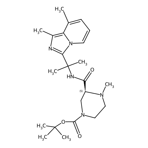 Cc1cccn2c(C(C)(C)NC(=O)[C@@H]3CN(C(=O)OC(C)(C)C)CCN3C)nc(C)c12